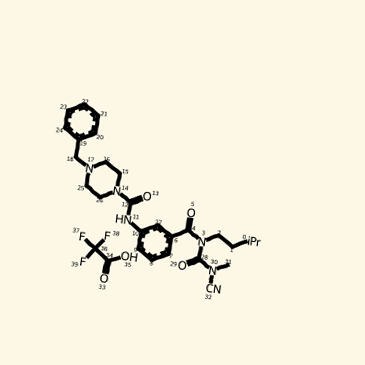 CC(C)CCN(C(=O)c1cccc(NC(=O)N2CCN(Cc3ccccc3)CC2)c1)C(=O)N(C)C#N.O=C(O)C(F)(F)F